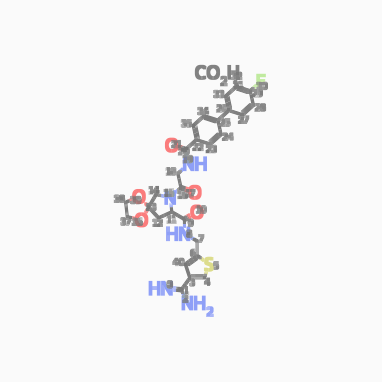 N=C(N)c1csc(CNC(=O)C2CC3(CN2C(=O)CNC(=O)c2ccc(-c4ccc(F)c(C(=O)O)c4)cc2)OCCO3)c1